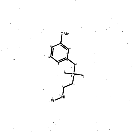 CCNCC[N+](C)(C)Cc1cccc(OC)c1